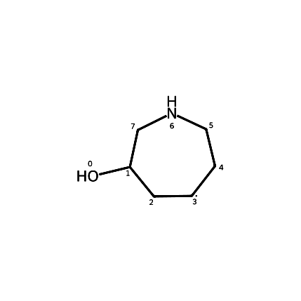 OC1C[CH]CCNC1